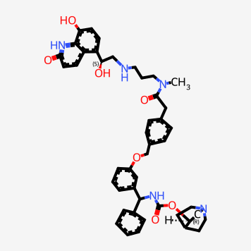 CN(CCCNC[C@@H](O)c1ccc(O)c2[nH]c(=O)ccc12)C(=O)Cc1ccc(COc2cccc(C(NC(=O)O[C@H]3CN4CCC3CC4)c3ccccc3)c2)cc1